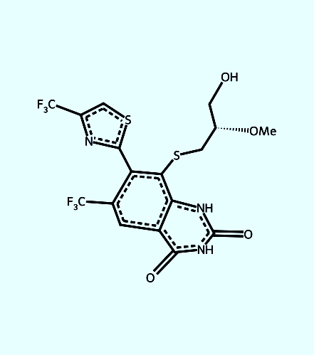 CO[C@@H](CO)CSc1c(-c2nc(C(F)(F)F)cs2)c(C(F)(F)F)cc2c(=O)[nH]c(=O)[nH]c12